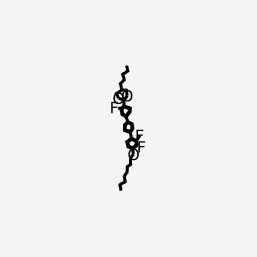 CCCCCCCCOc1ccc(-c2ccc(-c3ccc(C4OCC(CCCCC)CO4)c(F)c3)cc2)c(F)c1F